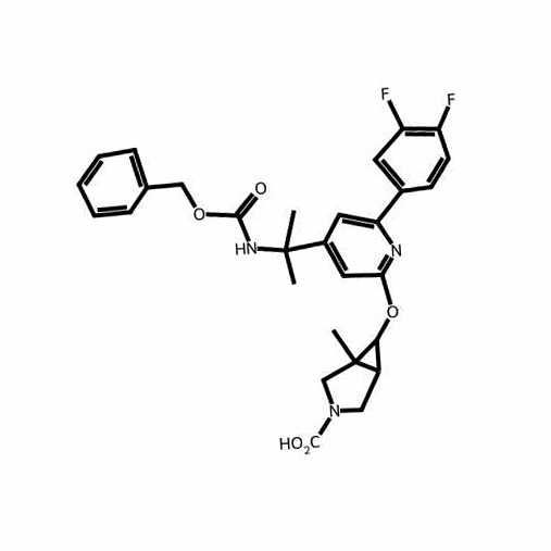 CC(C)(NC(=O)OCc1ccccc1)c1cc(OC2C3CN(C(=O)O)CC32C)nc(-c2ccc(F)c(F)c2)c1